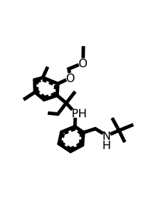 CCC(C)(Pc1ccccc1CNC(C)(C)C)c1cc(C)cc(C)c1OCOC